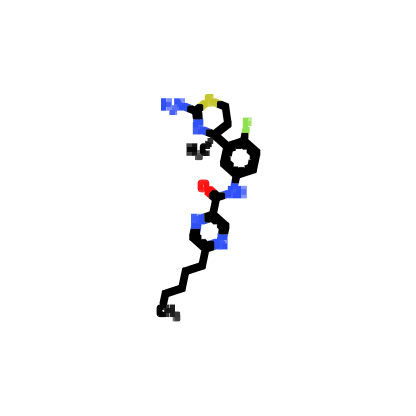 CCCCCc1cnc(C(=O)Nc2ccc(F)c([C@]3(C)CCSC(N)=N3)c2)cn1